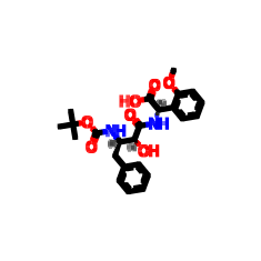 COc1ccccc1[C@H](NC(=O)[C@@H](O)[C@@H](Cc1ccccc1)NC(=O)OC(C)(C)C)C(=O)O